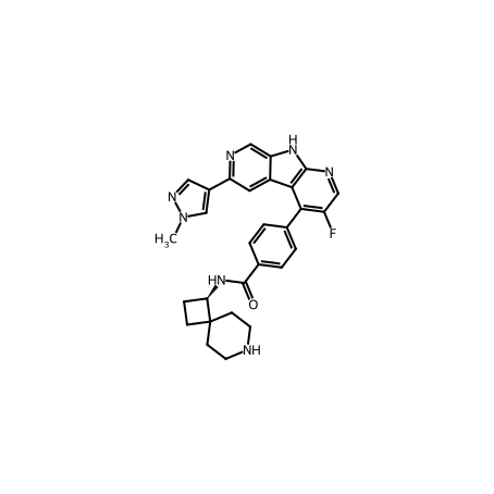 Cn1cc(-c2cc3c(cn2)[nH]c2ncc(F)c(-c4ccc(C(=O)N[C@@H]5CCC56CCNCC6)cc4)c23)cn1